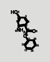 Nc1cc(O)c[c]c1C(=O)Oc1ccccc1